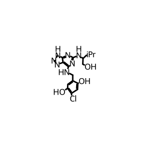 CC(C)C(CO)Nc1nc(NCc2cc(O)c(Cl)cc2O)c2nn[nH]c2n1